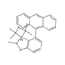 CC1Oc2cccc(-c3c4ccccc4cc4ccccc34)c2[PH]1(C(C)(C)C)C(C)(C)C